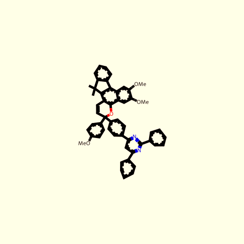 COc1ccc(C2(c3ccc(-c4cc(-c5ccccc5)nc(-c5ccccc5)n4)cc3)C=Cc3c4c(c5cc(OC)c(OC)cc5c3O2)-c2ccccc2C4(C)C)cc1